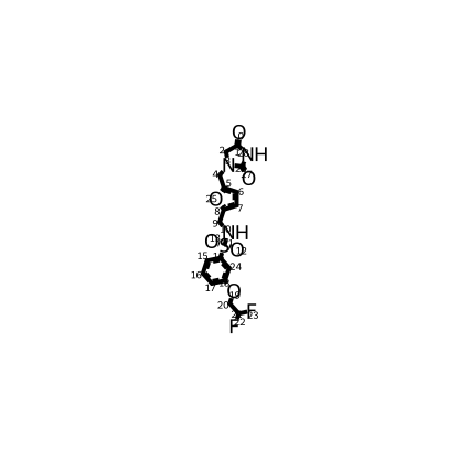 O=C1CN(Cc2ccc(CNS(=O)(=O)c3cccc(OCC(F)F)c3)o2)C(=O)N1